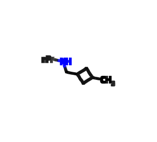 CCCNCC1CC(C)C1